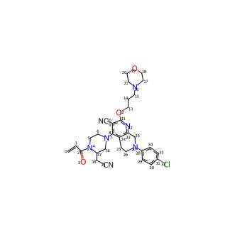 C=CC(=O)N1CCN(c2c(C#N)c(OCCCN3CCOCC3)nc3c2CCN(c2ccc(Cl)cc2)C3)CC1CC#N